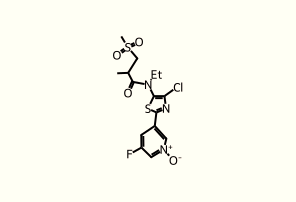 CCN(C(=O)C(C)CS(C)(=O)=O)c1sc(-c2cc(F)c[n+]([O-])c2)nc1Cl